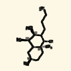 CCC1C(CCCC(C)C)[C@H](O)[C@H](O)C2C[C@H](O)CC[C@]12C